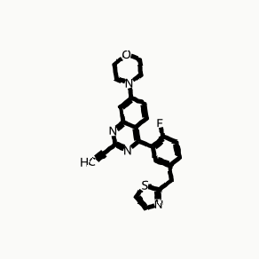 C#Cc1nc(-c2cc(Cc3nccs3)ccc2F)c2ccc(N3CCOCC3)cc2n1